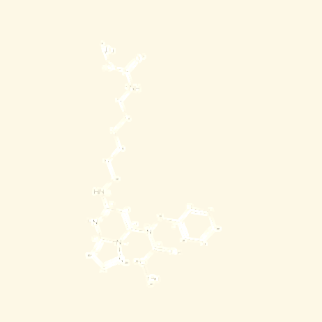 CC(C)(C)OC(=O)NCCCCCCNc1cc(N(Cc2ccccc2)C(=O)OC(C)(C)C)n2nccc2n1